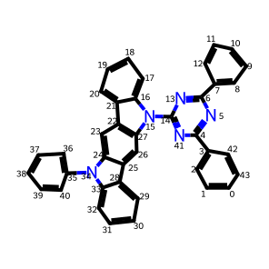 c1ccc(-c2nc(-c3ccccc3)nc(-n3c4ccccc4c4cc5c(cc43)c3ccccc3n5-c3ccccc3)n2)cc1